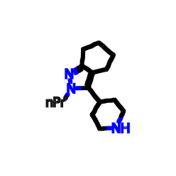 CCCn1nc2c(c1C1CCNCC1)CCCC2